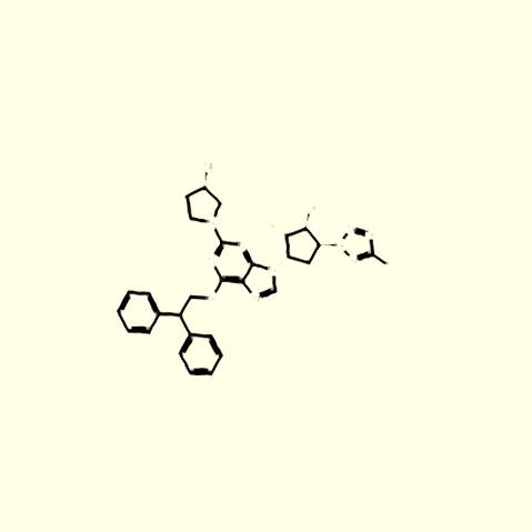 CCc1nnn([C@H]2C[C@H](n3cnc4c(NCC(c5ccccc5)c5ccccc5)nc(N5CC[C@@H](N)C5)nc43)[C@H](O)[C@H]2O)n1